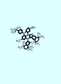 Cc1cc2c3c(c1)N(c1ccc4c(c1)C(C)(C)CCC4(C)C)c1c(sc4cc5c(cc14)C(C)(C)CCC5(C)C)B3c1cc(C(C)(C)C)ccc1N2c1ccc([Si](C)(C)C)cc1